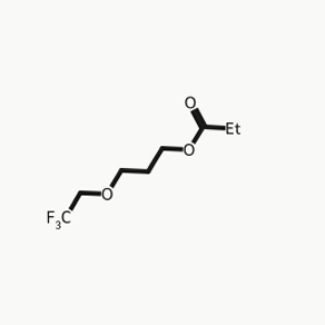 CCC(=O)OCCCOCC(F)(F)F